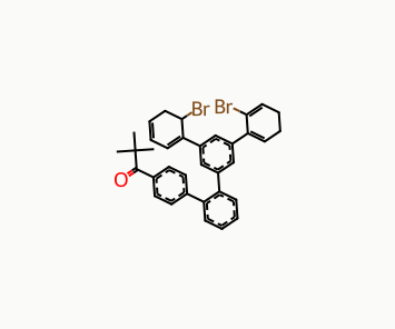 CC(C)(C)C(=O)c1ccc(-c2ccccc2-c2cc(C3=CCCC=C3Br)cc(C3=CC=CCC3Br)c2)cc1